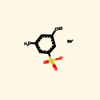 Cc1cc(C=O)cc(S(=O)(=O)[O-])c1.[Na+]